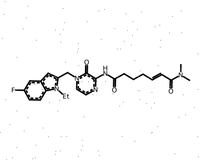 CCn1c(Cn2ccnc(NC(=O)CCC/C=C/C(=O)N(C)C)c2=O)cc2cc(F)ccc21